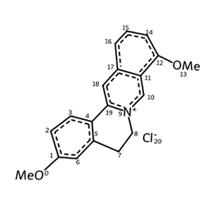 COc1ccc2c(c1)CC[n+]1cc3c(OC)cccc3cc1-2.[Cl-]